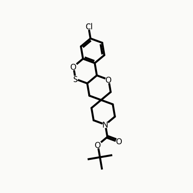 CC(C)(C)OC(=O)N1CCC2(CC1)COC1c3ccc(Cl)cc3OSC1C2